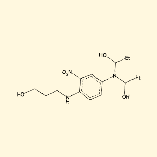 CCC(O)N(c1ccc(NCCCO)c([N+](=O)[O-])c1)C(O)CC